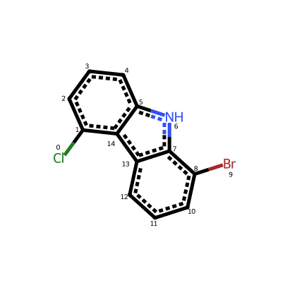 Clc1cccc2[nH]c3c(Br)cccc3c12